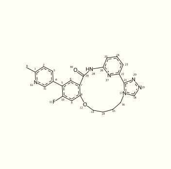 Cc1ccc(-c2cc3c(cc2F)OCCCCn2cnnc2-c2cccc(n2)NC3=O)cn1